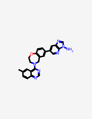 Cc1ccc2ncnc(N3CCOc4ccc(-c5cnc6c(c5)ncn6N)cc4C3)c2c1